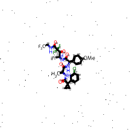 COc1ccc(C(NC(=O)C(C)NC(=O)C2(c3cccc(Cl)c3)CC2)C(=O)NC(C(=O)C(F)(F)C(=O)NCC(F)(F)F)C(C)C)cc1